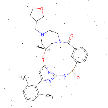 Cc1cccc(C)c1-c1cc2nc(n1)N[S+]([O-])c1cccc(c1)C(=O)N1CCN(CC3CCOC3)C[C@H](C1)O2